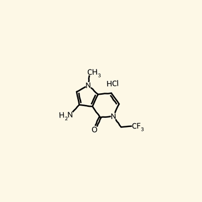 Cl.Cn1cc(N)c2c(=O)n(CC(F)(F)F)ccc21